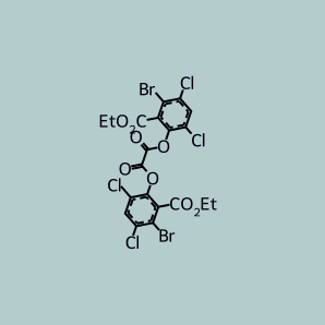 CCOC(=O)c1c(Br)c(Cl)cc(Cl)c1OC(=O)C(=O)Oc1c(Cl)cc(Cl)c(Br)c1C(=O)OCC